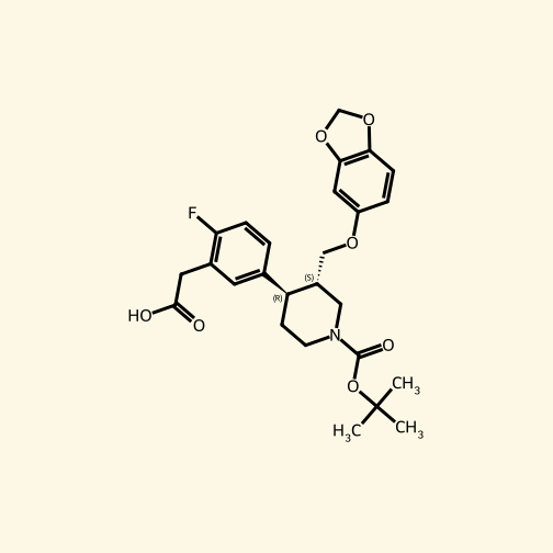 CC(C)(C)OC(=O)N1CC[C@@H](c2ccc(F)c(CC(=O)O)c2)[C@H](COc2ccc3c(c2)OCO3)C1